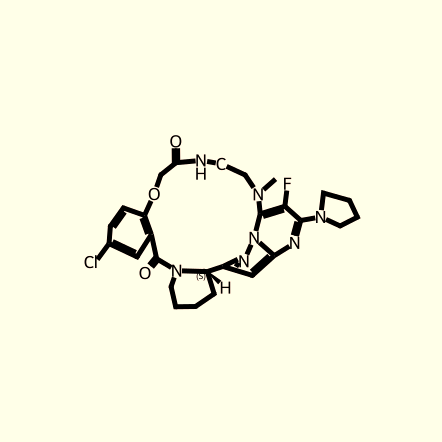 CN1CCNC(=O)COc2ccc(Cl)cc2C(=O)N2CCCC[C@H]2c2cc3nc(N4CCCC4)c(F)c1n3n2